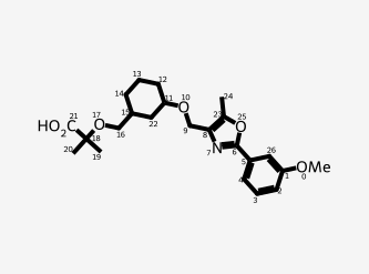 COc1cccc(-c2nc(COC3CCCC(COC(C)(C)C(=O)O)C3)c(C)o2)c1